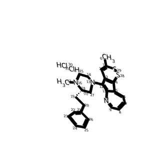 CC1=Cc2c(c3ccccnc-3c2N2CCN(C)[C@@H](CCc3ccccc3)C2)SS1.Cl.Cl